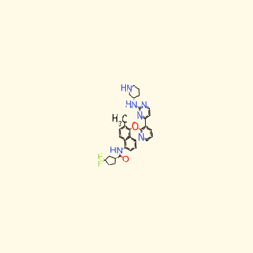 Cc1ccc2c(NC(=O)[C@H]3CCC(F)(F)C3)cccc2c1Oc1ncccc1-c1ccnc(N[C@H]2CCCNC2)n1